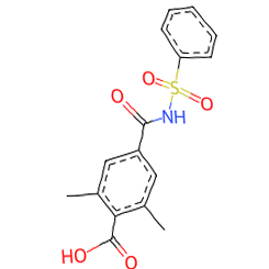 Cc1cc(C(=O)NS(=O)(=O)c2ccccc2)cc(C)c1C(=O)O